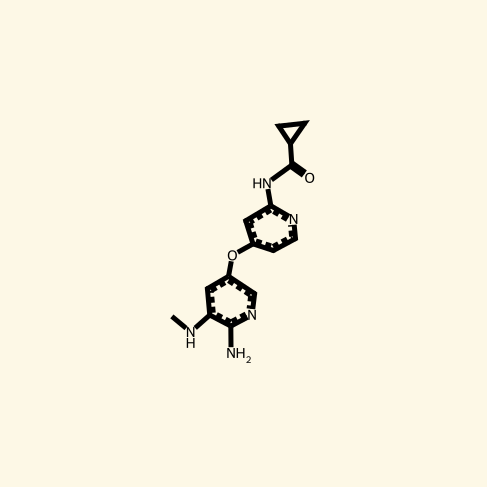 CNc1cc(Oc2ccnc(NC(=O)C3CC3)c2)cnc1N